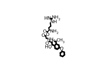 Cc1nc(C(=O)NCC(=O)OC(=O)[C@@H](N)CCCNC(=N)N)c(O)c2ccc(Oc3ccccc3)cc12